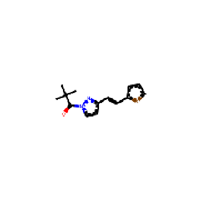 CC(C)(C)C(=O)n1ccc(C=Cc2cccs2)n1